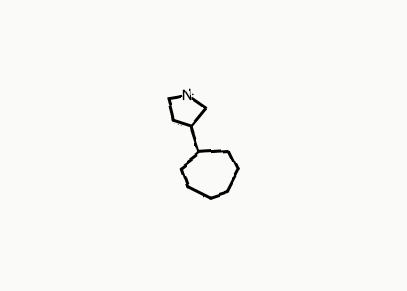 C1CCCC(C2CC[N]C2)CC1